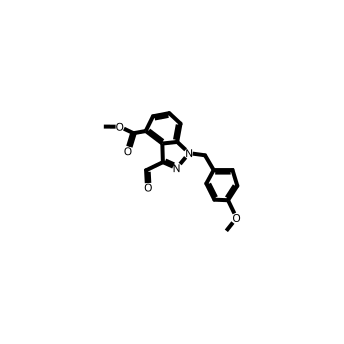 COC(=O)c1cccc2c1c(C=O)nn2Cc1ccc(OC)cc1